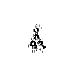 Cc1cc2cc(Oc3nc(Nc4cc(C5CC5)no4)cc(N4CCN(C)CC4)n3)cc(F)c2[nH]1